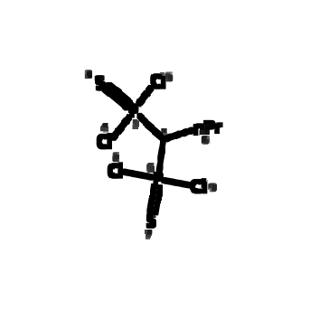 CCCC(P(=S)(Cl)Cl)P(=S)(Cl)Cl